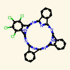 Clc1c(Cl)c(Cl)c2c3nc4nc(nc5[nH]c(nc6nc(nc([nH]3)c2c1Cl)-c1ccccc1-6)c1ccccc51)-c1ccccc1-4